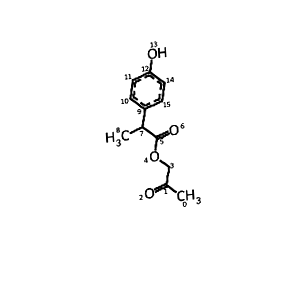 CC(=O)COC(=O)C(C)c1ccc(O)cc1